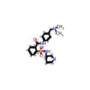 CN(C)Cc1ccc(NC(=O)c2ccccc2S(=O)(=O)Nc2cccnc2)cc1